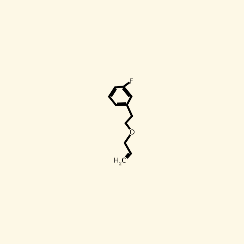 C=CCOCCc1cccc(F)c1